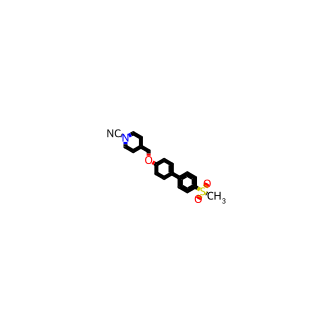 CS(=O)(=O)c1ccc(C2=CCC(OCC3CCN(C#N)CC3)CC2)cc1